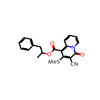 CSc1c(C#N)c(=O)n2ccccc2c1C(=O)OC(C)Cc1ccccc1